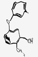 Cc1ccc(Oc2ccccc2)cc1O